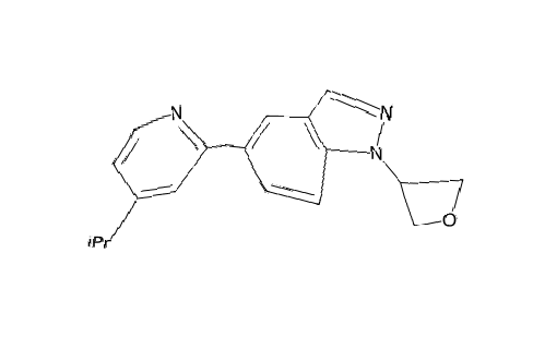 CC(C)c1ccnc(-c2ccc3c(cnn3C3COC3)c2)c1